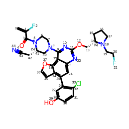 C=C(F)C(=O)N1CCN(c2nc(OC[C@@H]3CCCN3CCF)nc3cc(-c4cc(O)ccc4Cl)c4ccoc4c23)C[C@@H]1CC#N